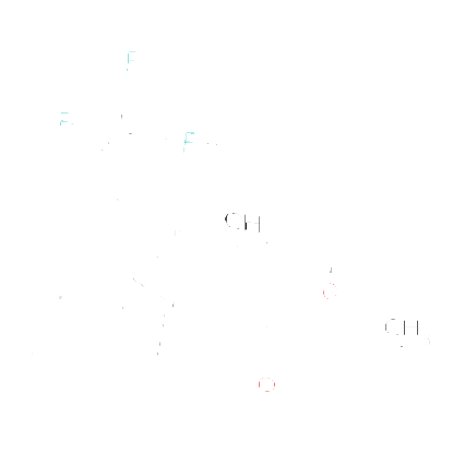 C=C(C(=O)OC)C12CC3CC(C1)CC(C(F)(F)F)(C3)C2